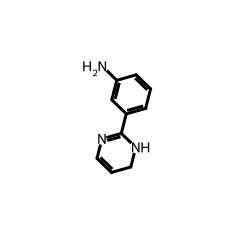 Nc1cccc(C2=NC=CCN2)c1